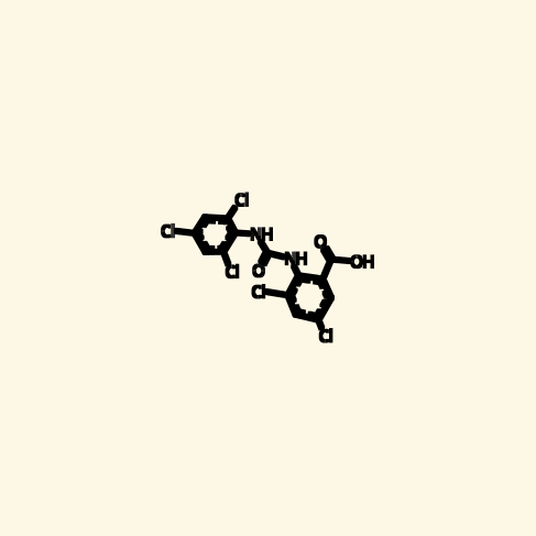 O=C(Nc1c(Cl)cc(Cl)cc1Cl)Nc1c(Cl)cc(Cl)cc1C(=O)O